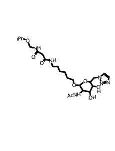 CC(=O)NC1C(OCCCCCCNC(=O)CC(=O)NCOC(C)C)OC(Cn2ccnn2)C(O)C1O